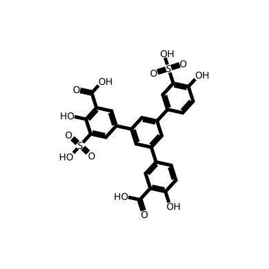 O=C(O)c1cc(-c2cc(-c3ccc(O)c(S(=O)(=O)O)c3)cc(-c3cc(C(=O)O)c(O)c(S(=O)(=O)O)c3)c2)ccc1O